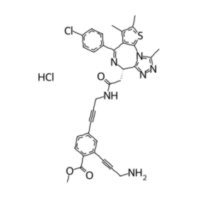 COC(=O)c1ccc(C#CCNC(=O)C[C@@H]2N=C(c3ccc(Cl)cc3)c3c(sc(C)c3C)-n3c(C)nnc32)cc1C#CCN.Cl